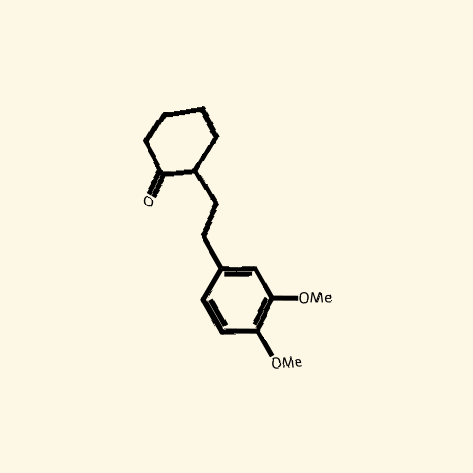 COc1ccc(CCC2CCCCC2=O)cc1OC